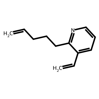 C=CCCCc1ncccc1C=C